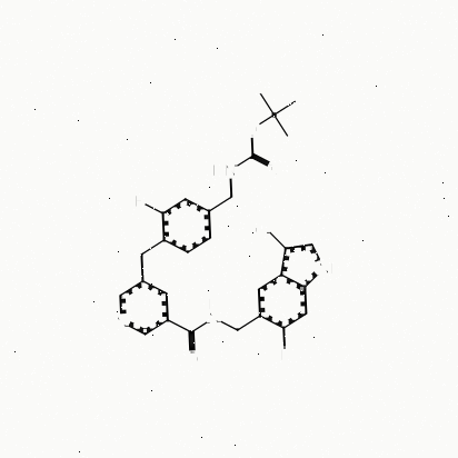 CC(C)(C)OC(=O)NCc1ccc(Cc2cncc(C(=O)NCc3cc4c(Cl)c[nH]c4cc3F)c2)c(F)c1